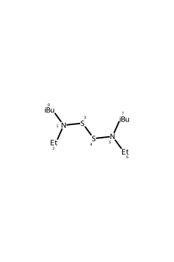 CCC(C)N(CC)SSN(CC)C(C)CC